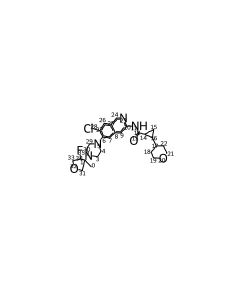 CC1(N2CCN(c3cc4cc(NC(=O)C5CC5C5CCOCC5)ncc4cc3Cl)CC2)COCC1F